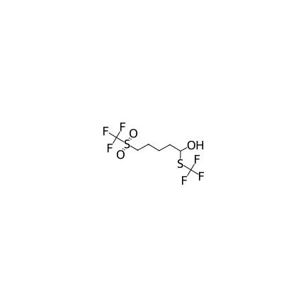 O=S(=O)(CCCCC(O)SC(F)(F)F)C(F)(F)F